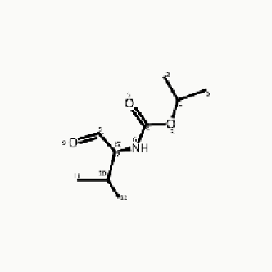 CC(C)OC(=O)N[C@H]([C]=O)C(C)C